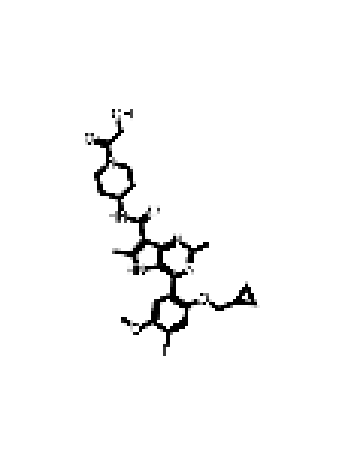 COc1cc(-c2nc(C)nc3c(C(=O)NC4CCN(C(=O)CO)CC4)c(C)[nH]c23)c(OCC2CC2)cc1F